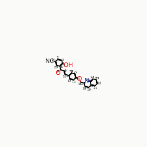 N#Cc1ccc(O)c(C(=O)C=Cc2ccc(OCc3ccc4ccccc4n3)cc2)c1